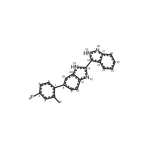 Cc1cc(F)ccc1-c1ccc2nc(-c3[nH]nc4ccccc34)[nH]c2c1